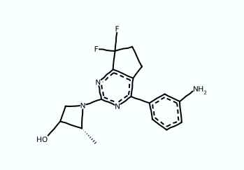 C[C@@H]1C(O)CN1c1nc(-c2cccc(N)c2)c2c(n1)C(F)(F)CC2